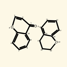 O=c1ccoc2ccccc12.c1ccc2c(c1)CCCO2